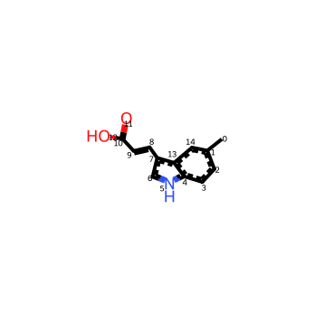 Cc1ccc2[nH]cc(C=CC(=O)O)c2c1